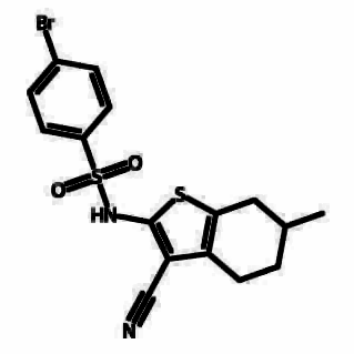 CC1CCc2c(sc(NS(=O)(=O)c3ccc(Br)cc3)c2C#N)C1